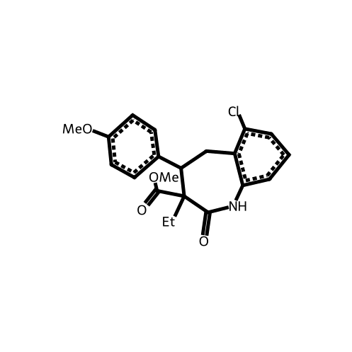 CCC1(C(=O)OC)C(=O)Nc2cccc(Cl)c2CC1c1ccc(OC)cc1